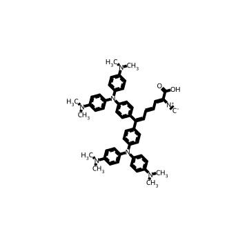 [C-]#[N+]/C(=C\C=C\C=C(c1ccc(N(c2ccc(N(C)C)cc2)c2ccc(N(C)C)cc2)cc1)c1ccc(N(c2ccc(N(C)C)cc2)c2ccc(N(C)C)cc2)cc1)C(=O)O